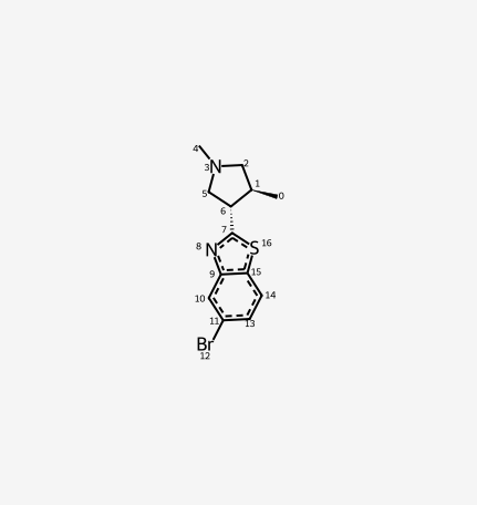 C[C@@H]1CN(C)C[C@H]1c1nc2cc(Br)ccc2s1